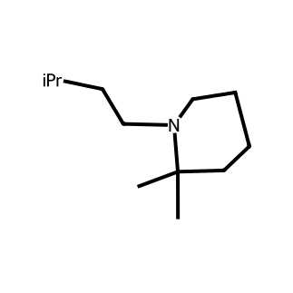 CC(C)CCN1CCCCC1(C)C